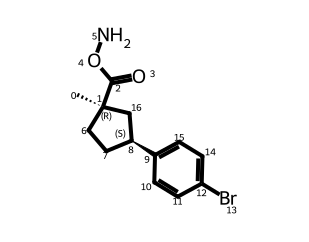 C[C@@]1(C(=O)ON)CC[C@H](c2ccc(Br)cc2)C1